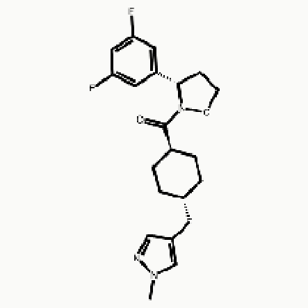 Cn1cc(C[C@H]2CC[C@H](C(=O)N3OCC[C@H]3c3cc(F)cc(F)c3)CC2)cn1